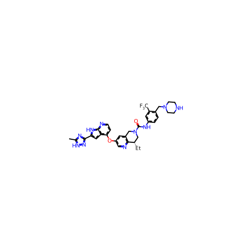 CC[C@H]1CN(C(=O)Nc2ccc(CN3CCNCC3)c(C(F)(F)F)c2)Cc2cc(Oc3ccnc4[nH]c(-c5n[nH]c(C)n5)cc34)cnc21